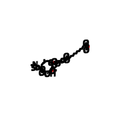 C=CC[C@H]1C(=O)C(C)(C)[C@@H](O)CC(=O)O[C@H](c2ccc3sc(C)nc3c2)C/C=C(/C)CCC[C@H](C)[C@@H]1OC(=O)OCc1ccc(OC(=O)CCCCCCCCCCN2C(=O)C=CC2=O)cc1